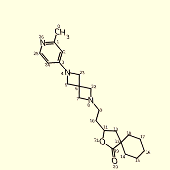 Cc1cc(N2CC3(CN(CCC4CC5(CCCCC5)C(=O)O4)C3)C2)ccn1